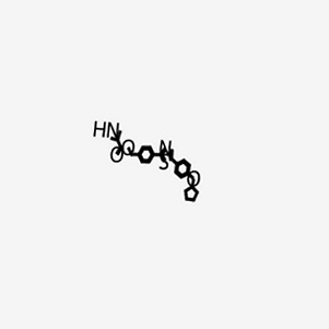 O=C(OCc1ccc(-c2ncc(-c3ccc(OC4CCCC4)cc3)s2)cc1)C1CNC1